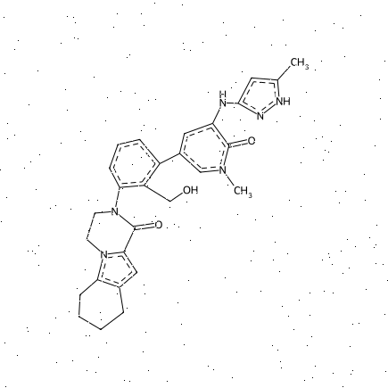 Cc1cc(Nc2cc(-c3cccc(N4CCn5c(cc6c5CCCC6)C4=O)c3CO)cn(C)c2=O)n[nH]1